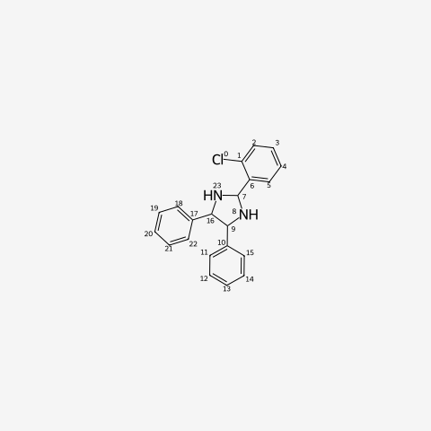 Clc1ccccc1C1NC(c2ccccc2)C(c2ccccc2)N1